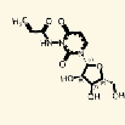 C=CC(=O)Nn1c(=O)ccn([C@@H]2O[C@H](CO)[C@@H](O)[C@H]2O)c1=O